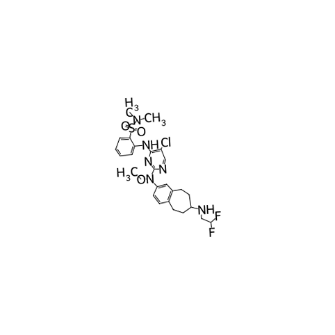 CON(c1ccc2c(c1)CCC(NCC(F)F)CC2)c1ncc(Cl)c(Nc2ccccc2S(=O)(=O)N(C)C)n1